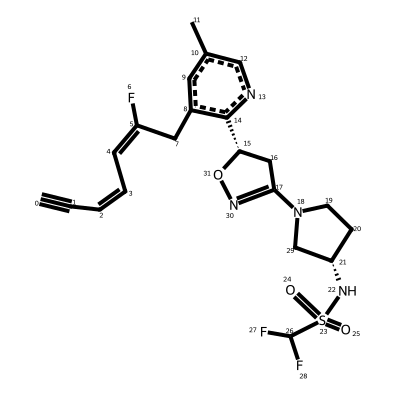 C#C/C=C\C=C(\F)Cc1cc(C)cnc1[C@@H]1CC(N2CC[C@H](NS(=O)(=O)C(F)F)C2)=NO1